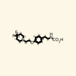 O=C(O)NCCc1ccc(OCCN2CCC(F)(F)CC2)cc1